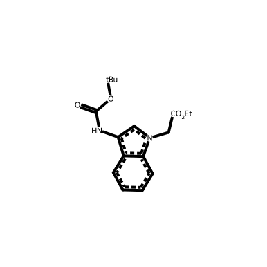 CCOC(=O)Cn1cc(NC(=O)OC(C)(C)C)c2ccccc21